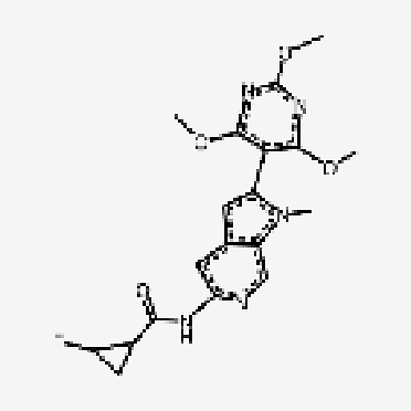 COc1nc(OC)c(-c2cc3cc(NC(=O)C4CC4F)ncc3n2C)c(OC)n1